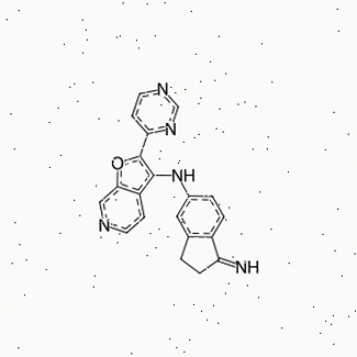 N=C1CCc2cc(Nc3c(-c4ccncn4)oc4cnccc34)ccc21